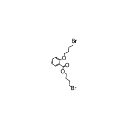 O=C(OCCCCBr)c1ccccc1OCCCCBr